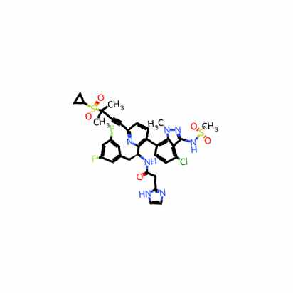 Cn1nc(NS(C)(=O)=O)c2c(Cl)ccc(-c3ccc(C#CC(C)(C)S(=O)(=O)C4CC4)nc3[C@H](Cc3cc(F)cc(F)c3)NC(=O)Cc3ncc[nH]3)c21